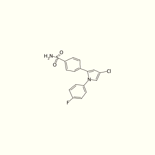 NS(=O)(=O)c1ccc(-c2cc(Cl)cn2-c2ccc(F)cc2)cc1